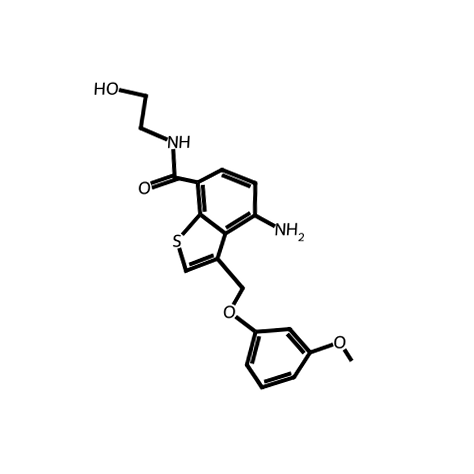 COc1cccc(OCc2csc3c(C(=O)NCCO)ccc(N)c23)c1